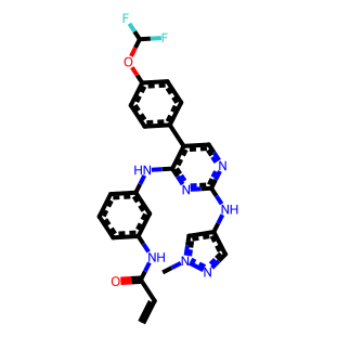 C=CC(=O)Nc1cccc(Nc2nc(Nc3cnn(C)c3)ncc2-c2ccc(OC(F)F)cc2)c1